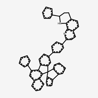 c1ccc(-c2cc3ccccc3c3c2-c2ccc(-c4ccc(-c5ccc6ccc7c(c6n5)NC(c5ccccc5)CC7)cc4)cc2C32c3ccccc3-c3ccccc32)cc1